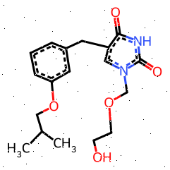 CC(C)COc1cccc(Cc2cn(COCCO)c(=O)[nH]c2=O)c1